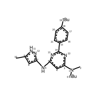 CCCCN(C)c1cc(Nc2cc(C)[nH]n2)nc(-c2ccc(C(C)(C)C)cc2)n1